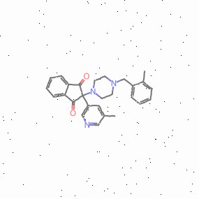 Cc1cncc(C2(N3CCN(Cc4ccccc4C)CC3)C(=O)c3ccccc3C2=O)c1